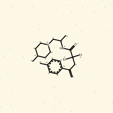 C=C(CC(CC)(CC)C(=O)NC(C)CN1CCC(C)CC1)c1ccc(C)cc1